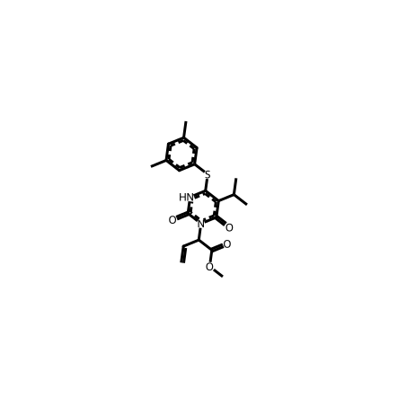 C=CC(C(=O)OC)n1c(=O)[nH]c(Sc2cc(C)cc(C)c2)c(C(C)C)c1=O